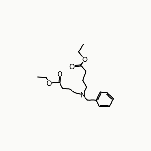 CCOC(=O)CCCN(CCCC(=O)OCC)Cc1ccccc1